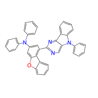 c1ccc(N(c2ccccc2)c2cc(-c3ncc4c(n3)c3ccccc3n4-c3ccccc3)c3c(c2)oc2ccccc23)cc1